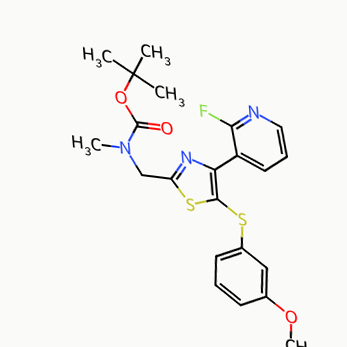 COc1cccc(Sc2sc(CN(C)C(=O)OC(C)(C)C)nc2-c2cccnc2F)c1